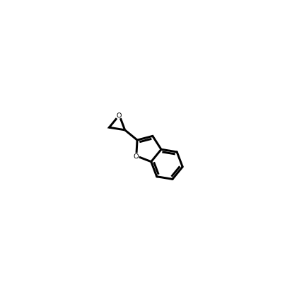 c1ccc2oc(C3CO3)cc2c1